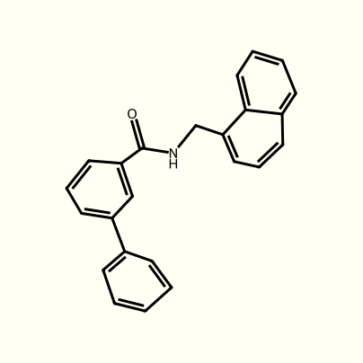 O=C(NCc1cccc2ccccc12)c1cccc(-c2ccccc2)c1